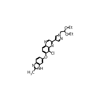 CCOC(Cn1cc(-c2cnc3ccc(Oc4ccc5nc(C)[nH]c5c4)c(Cl)c3n2)cn1)OCC